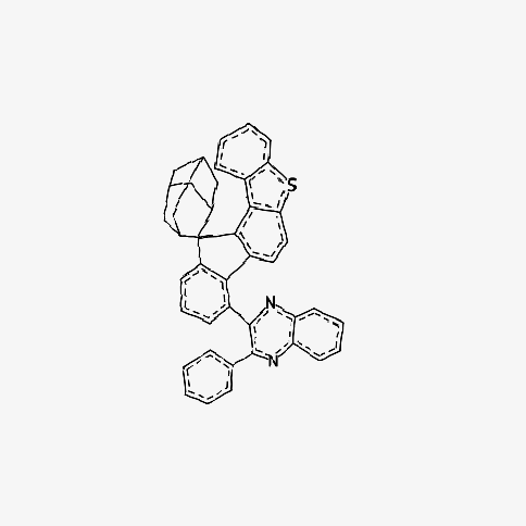 c1ccc(-c2nc3ccccc3nc2-c2cccc3c2-c2ccc4sc5ccccc5c4c2C32C3CC4CC(C3)CC2C4)cc1